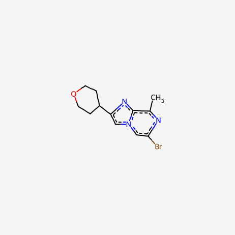 Cc1nc(Br)cn2cc(C3CCOCC3)nc12